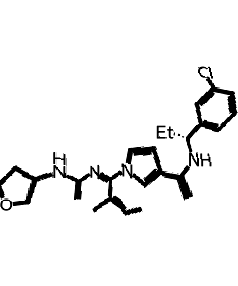 C=C(/N=C(\C(C)=C/C)n1ccc(C(=C)N[C@H](CC)c2cccc(Cl)c2)c1)NC1CCOC1